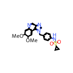 COC1C=c2ncc3ncn(Cc4ccc(NS(=O)(=O)C5CC5)cc4)c3c2=CC1OC